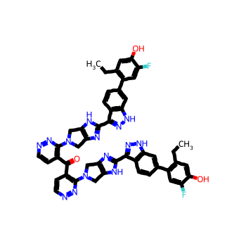 CCc1cc(O)c(F)cc1-c1ccc2c(-c3nc4c([nH]3)CN(c3nnccc3C(=O)c3ccnnc3N3Cc5nc(-c6n[nH]c7cc(-c8cc(F)c(O)cc8CC)ccc67)[nH]c5C3)C4)n[nH]c2c1